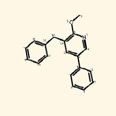 COc1ncc(-c2ccccc2)cc1Cc1ccccc1